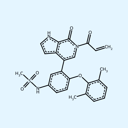 C=CC(=O)n1cc(-c2cc(NS(C)(=O)=O)ccc2Oc2c(C)cccc2C)c2cc[nH]c2c1=O